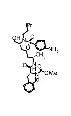 COC(=O)N[C@@H](Cc1ccccc1Cl)C(=O)N[C@@H](C)CCC[C@@H](CO)N(CCC(C)C)S(=O)(=O)c1ccc(N)cc1